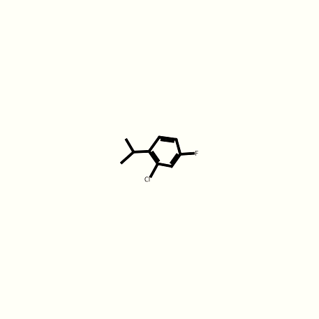 CC(C)c1ccc(F)[c]c1Cl